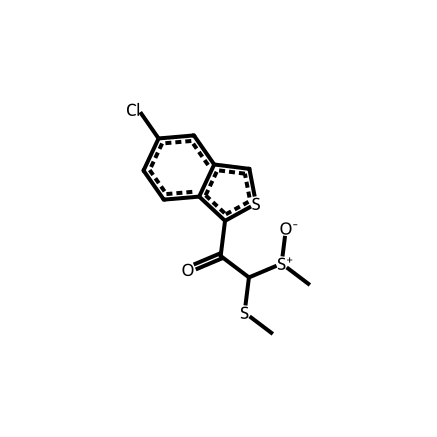 CSC(C(=O)c1scc2cc(Cl)ccc12)[S+](C)[O-]